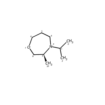 CC(C)N1CCCOC[C@@H]1C